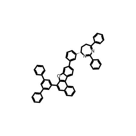 c1ccc(C2=NC(c3ccccc3)=N[C@H](c3cccc(-c4ccc5c(c4)oc4c(-c6cc(-c7ccccc7)cc(-c7ccccc7)c6)cc6ccccc6c45)c3)CC2)cc1